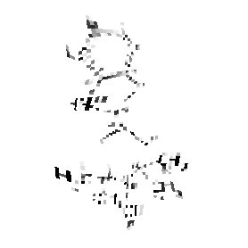 CC1(C)CC(C2Cc3ccccc3N2)CC(C)(C)N1O